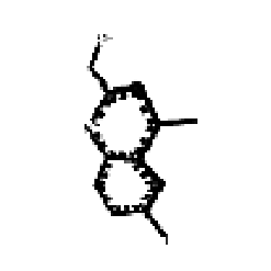 Cc1cc(CO)nc2ccc(I)cc12